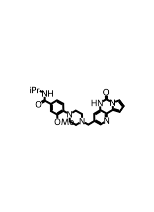 COc1cc(C(=O)NC(C)C)ccc1N1CCN(Cc2cnc3c(c2)[nH]c(=O)n2cccc32)CC1